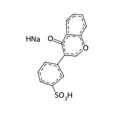 O=c1c(-c2cccc(S(=O)(=O)O)c2)coc2ccccc12.[NaH]